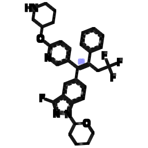 Fc1nn(C2CCCCO2)c2ccc(/C(=C(\CC(F)(F)F)c3ccccc3)c3ccc(OC4CCCNC4)nc3)cc12